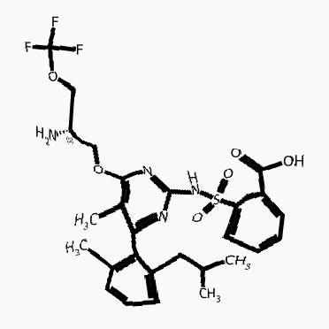 Cc1cccc(CC(C)C)c1-c1nc(NS(=O)(=O)c2ccccc2C(=O)O)nc(OC[C@H](N)COC(F)(F)F)c1C